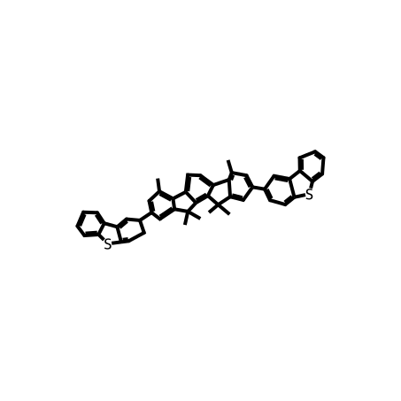 Cc1cc(-c2ccc3sc4ccccc4c3c2)cc2c1-c1ccc3c(c1C2(C)C)C(C)(C)c1cc(C2C=c4c(sc5ccccc45)=CC2)cc(C)c1-3